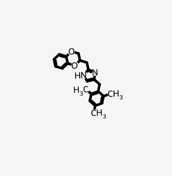 Cc1cc(C)c(Cc2c[nH]c(CC3COc4ccccc4O3)n2)c(C)c1